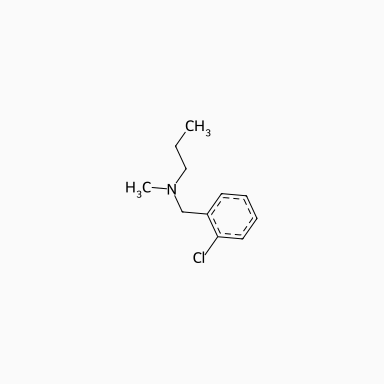 CCCN(C)Cc1ccccc1Cl